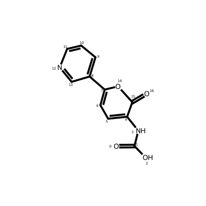 O=C(O)Nc1ccc(-c2cccnc2)oc1=O